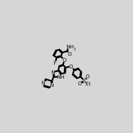 CCS(=O)(=O)c1ccc(Oc2cc3[nH]c(-c4cnccn4)nc3cc2Oc2c(F)cccc2C(N)=O)cc1